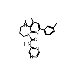 Cc1cccc(-c2cc(C)c3c(n2)N(C(=O)Nc2cnccn2)CCCN3C)c1